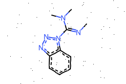 CN=C(N(C)C)n1nnc2ccccc21